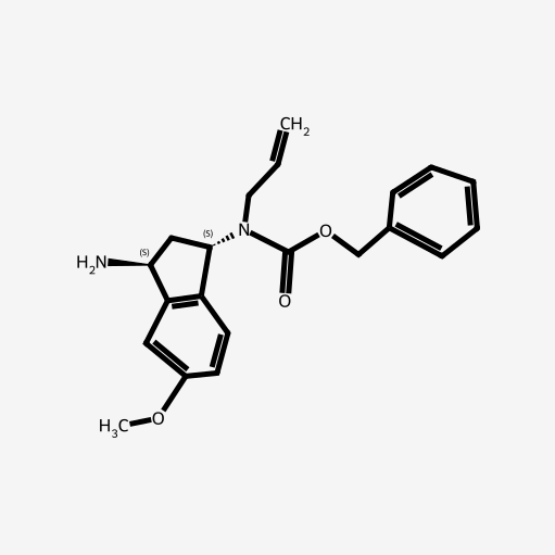 C=CCN(C(=O)OCc1ccccc1)[C@H]1C[C@H](N)c2cc(OC)ccc21